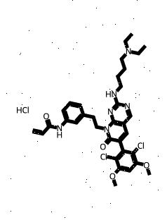 C=CC(=O)Nc1cccc(CCn2c(=O)c(-c3c(Cl)c(OC)cc(OC)c3Cl)cc3cnc(NCCCCN(CC)CC)nc32)c1.Cl